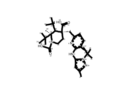 Cc1cc(Nc2nc(C[C@]3(C(=O)O)CCN(C(=O)O)[C@@](C)(C(C)(C)C)C3C(C)(C)C)ccc2F)n(C(C)(C)C)n1